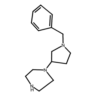 c1ccc(CN2CCC(N3CCNCC3)C2)cc1